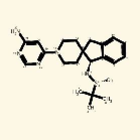 CC(C)(C)[S@@+]([O-])N[C@@H]1c2ccccc2CC12CCN(c1cc(N)ncn1)CC2